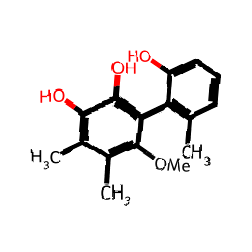 COc1c(C)c(C)c(O)c(O)c1-c1c(C)cccc1O